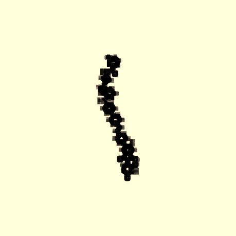 Cc1cccc(C(=O)NC2CC(n3cnc4c(Nc5ccc(N6CCN(CCC7CCN(c8cc9c(cc8F)C(=O)N([C@H]8CCC(=O)NC8=O)C9=O)CC7)CC6)cc5)ncnc43)C2)n1